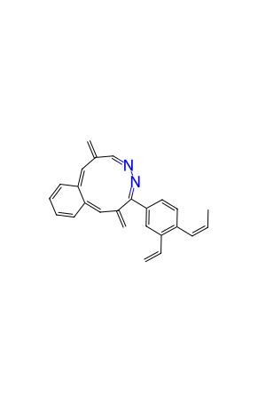 C=Cc1cc(-c2nncc(=C)cc3ccccc3cc2=C)ccc1/C=C\C